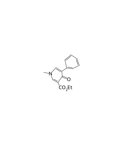 CCOC(=O)c1cn(C)cc(-c2ccccc2)c1=O